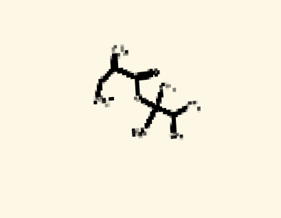 C=C(CC(=O)O)C(=O)OC(C)(C)C(C(F)(F)F)C(F)(F)F